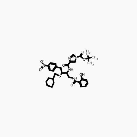 CC(C)(C)OC(=O)n1cnc(C(=O)NC(CNC(=O)c2ccccc2O)C(Cc2ccc([N+](=O)[O-])cc2)SCC2CCCCC2)c1